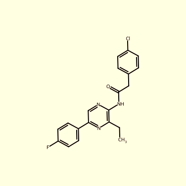 CCc1nc(-c2ccc(F)cc2)cnc1NC(=O)Cc1ccc(Cl)cc1